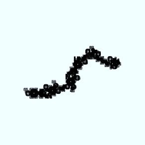 CCC(C)(CC)C(=O)N(C=O)CCCCCC(=O)NC(C(=O)NCC(=O)Nc1ccc(C2=CN3C(=O)c4cc(OC)c(OCCCOc5cc6c(cc5OC)C(=O)N5C=C(c7ccc(OC)cc7)CC5C=N6)cc4N=CC3C2)cc1)C(C)C